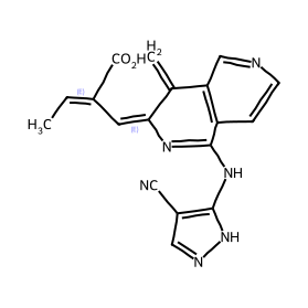 C=c1/c(=C\C(=C/C)C(=O)O)nc(Nc2[nH]ncc2C#N)c2ccncc12